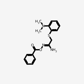 CN(C)c1ccccc1SCC(N)=NOC(=O)c1ccccc1